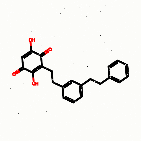 O=C1C=C(O)C(=O)C(CCc2cccc(CCc3ccccc3)c2)=C1O